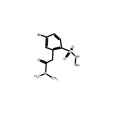 CN(C)C(=O)Cc1cc(Br)ccc1S(=O)(=O)NC(C)(C)C